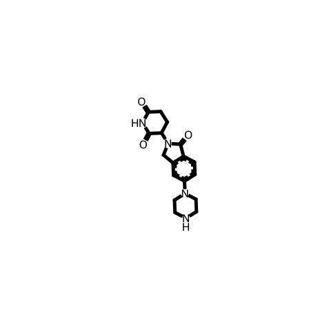 O=C1CCC(N2Cc3cc(N4CCNCC4)ccc3C2=O)C(=O)N1